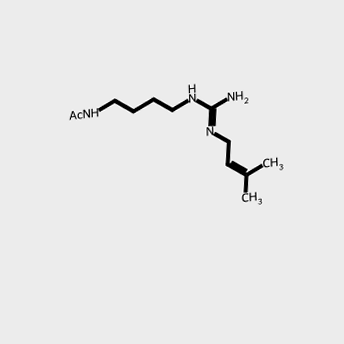 CC(=O)NCCCCNC(N)=NCC=C(C)C